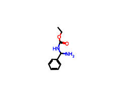 CCOC(=O)NC(N)c1ccccc1